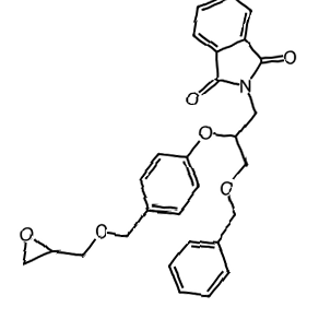 O=C1c2ccccc2C(=O)N1CC(COCc1ccccc1)Oc1ccc(COCC2CO2)cc1